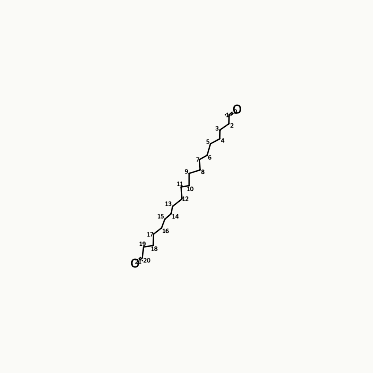 O=[C]CCCCCCCCCCCCCCCCCC[C]=O